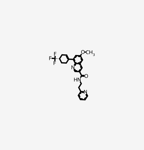 COc1cc(C2=CC[C@@H](C(F)(F)F)CC2)c2ncc(C(=O)NCCc3ccccn3)cc2c1